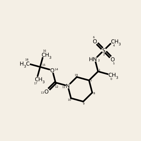 CC(NS(C)(=O)=O)C1CCCN(C(=O)OC(C)(C)C)C1